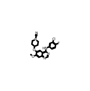 COc1cc2ncnc(Nc3ccc(F)c(Cl)c3)c2cc1OC1CCN(C#N)CC1